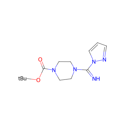 CC(C)(C)OC(=O)N1CCN(C(=N)n2cccn2)CC1